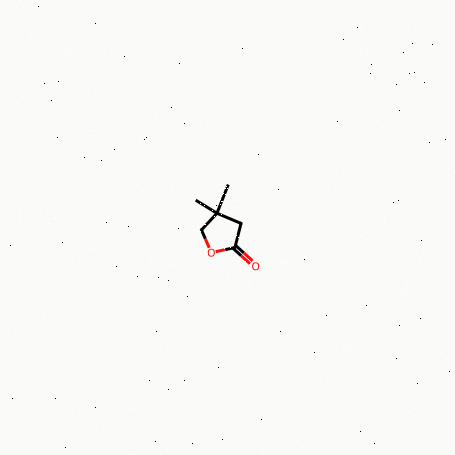 CC1(C)COC(=O)C1